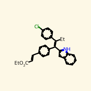 CCOC(=O)/C=C/c1ccc(/C(=C(/CC)c2ccc(Cl)cc2)c2cc3ccccc3[nH]2)cc1